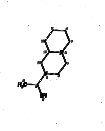 CC(S)N1CCN2CCCCC2C1